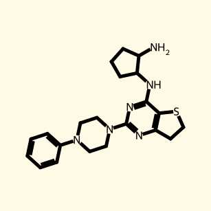 NC1CCCC1Nc1nc(N2CCN(c3ccccc3)CC2)nc2c1SCC2